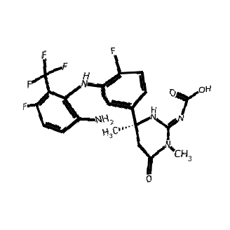 CN1C(=O)C[C@@](C)(c2ccc(F)c(Nc3c(N)ccc(F)c3C(F)(F)F)c2)N/C1=N\C(=O)O